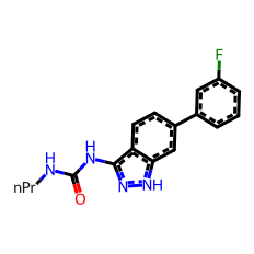 CCCNC(=O)Nc1n[nH]c2cc(-c3cccc(F)c3)ccc12